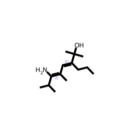 CCC/C(=C\C(C)=C(/N)C(C)C)C(C)(C)O